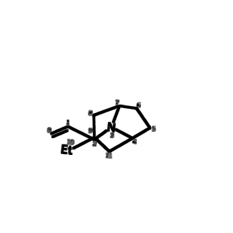 C=CCN1C2CCC1CC(CC)C2